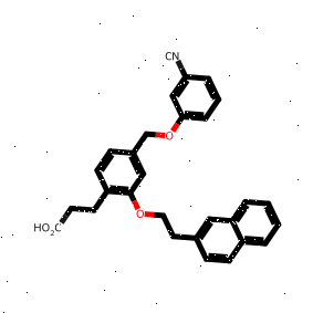 [C-]#[N+]c1cccc(OCc2ccc(CCC(=O)O)c(OCCc3ccc4ccccc4c3)c2)c1